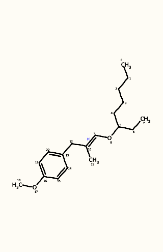 CCCCCC(CC)O/C=C(\C)Cc1ccc(OC)cc1